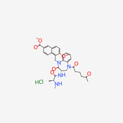 CN[C@@H](C)C(=O)N[C@H]1CN(C(=O)CCCC(C)=O)c2ccccc2N(Cc2c(OC)ccc3cc(C(=O)OC)ccc23)C1=O.Cl